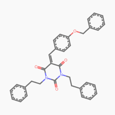 O=C1C(=Cc2ccc(OCc3ccccc3)cc2)C(=O)N(CCc2ccccc2)C(=O)N1CCc1ccccc1